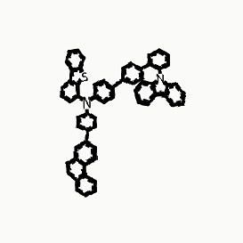 c1ccc(-n2c3ccccc3c3ccccc32)c(-c2ccc(-c3ccc(N(c4ccc(-c5ccc6c(ccc7ccccc76)c5)cc4)c4cccc5c4sc4ccccc45)cc3)cc2)c1